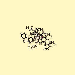 CCCC1=Cc2c(-c3ccccc3C)cccc2[CH]1[Hf]([Cl])([Cl])([B](NC(=O)CC)NC(=O)CC)[CH]1C(CCC)=Cc2c(-c3ccccc3C)cccc21